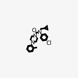 Cc1ccccc1N1CCN(C(=O)N(CC2CC2)c2ccc(Cl)cc2)CC1